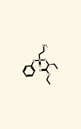 CCOC(=O)[C@H](CC)OP(=O)(CCN)Oc1ccccc1